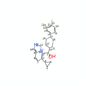 OC(c1c(C2CC2)ccc2cncn12)C1CCC(c2ccc(F)c(F)c2)CC1